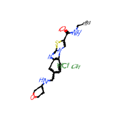 CC(C)(C)CNC(=O)c1cn2c(nc3cc(CNC4CCOC4)ccc32)s1.Cl.Cl